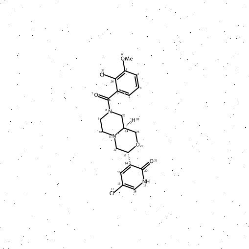 COc1cccc(C(=O)N2CCN3C[C@@H](c4cc(Cl)c[nH]c4=O)OC[C@@H]3C2)c1Cl